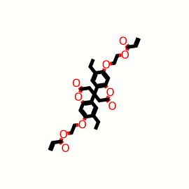 C=CC(=O)OCCOc1cc2c(cc1CC)C1(CC(=O)O2)CC(=O)Oc2cc(OCCOC(=O)C=C)c(CC)cc21